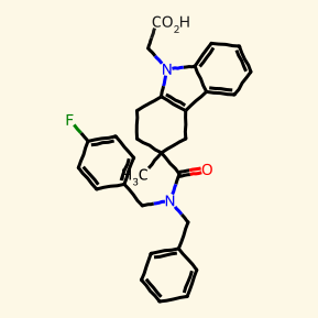 CC1(C(=O)N(Cc2ccccc2)Cc2ccc(F)cc2)CCc2c(c3ccccc3n2CC(=O)O)C1